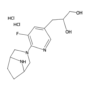 Cl.Cl.OCC(O)Cc1cnc(N2CC3CCC(C2)N3)c(F)c1